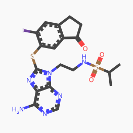 CC(C)S(=O)(=O)NCCn1c(Sc2cc3c(cc2I)CCC3=O)nc2c(N)ncnc21